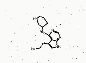 N#CCCc1c[nH]c2ncnc(NC3CCCNC3)c12